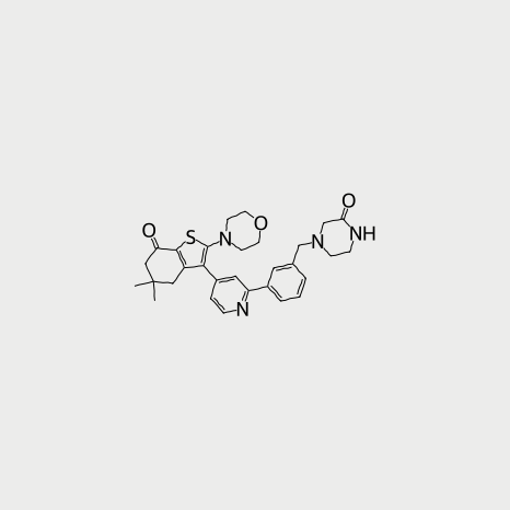 CC1(C)CC(=O)c2sc(N3CCOCC3)c(-c3ccnc(-c4cccc(CN5CCNC(=O)C5)c4)c3)c2C1